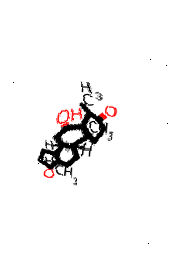 CCC1C(=O)CC[C@@]2(C)C1C(O)C[C@@H]1[C@H]2CC[C@]2(C)C(=O)CC[C@@H]12